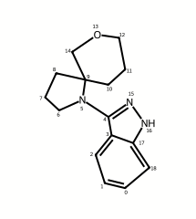 c1ccc2c(N3CCCC34CCCOC4)n[nH]c2c1